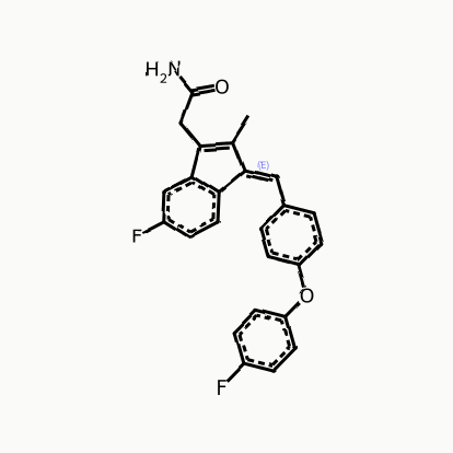 CC1=C(CC(N)=O)c2cc(F)ccc2/C1=C\c1ccc(Oc2ccc(F)cc2)cc1